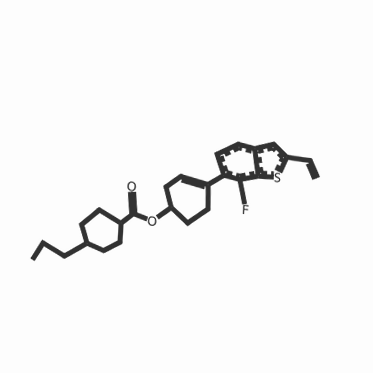 C=Cc1cc2ccc(C3=CCC(OC(=O)C4CCC(CCC)CC4)CC3)c(F)c2s1